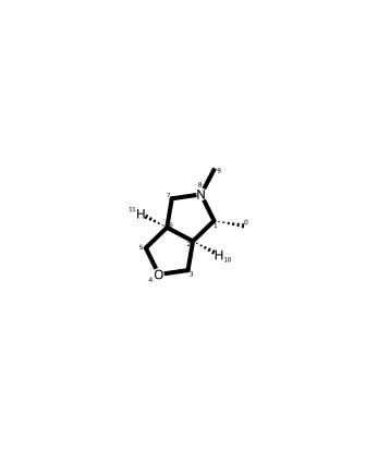 C[C@@H]1[C@H]2COC[C@H]2CN1C